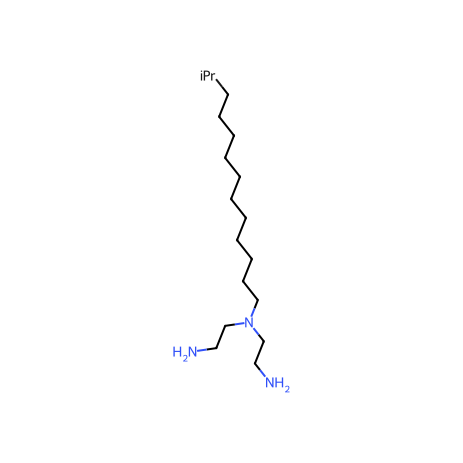 CC(C)CCCCCCCCCCCN(CCN)CCN